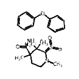 CN1CCC(C)(C(N)=O)C(C)(C)C1=S(=O)=O.c1ccc(Oc2ccccc2)cc1